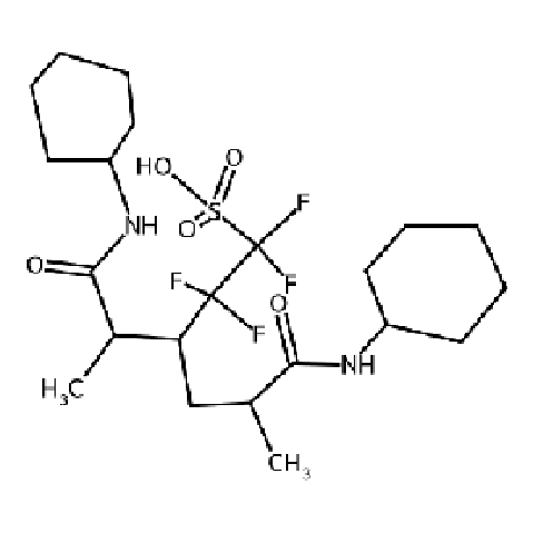 CC(CC(C(C)C(=O)NC1CCCCC1)C(F)(F)C(F)(F)S(=O)(=O)O)C(=O)NC1CCCCC1